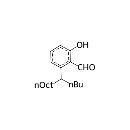 CCCCCCCCC(CCCC)c1cccc(O)c1C=O